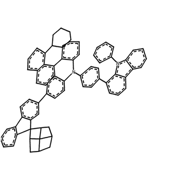 c1ccc(-n2c3ccccc3c3cccc(-c4ccc(N(c5ccc(-c6ccc7c(c6)C6(c8ccccc8-7)C7CC8CC9CC6C897)cc5)c5ccccc5-c5cccc6cccc(C7CCCCC7)c56)cc4)c32)cc1